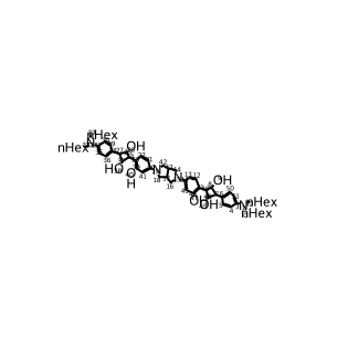 CCCCCCN(CCCCCC)c1ccc(C2C(O)C(c3ccc(N4CC5CN(c6ccc(C7C(O)C(c8ccc(N(CCCCCC)CCCCCC)cc8)C7O)c(O)c6)CC5C4)cc3O)C2O)cc1